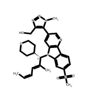 C/C=C\C=C(/C)[C@H](C1CCOCC1)n1c2cc(S(C)(=O)=O)ccc2c2ncc(-c3c(CO)nnn3C)cc21